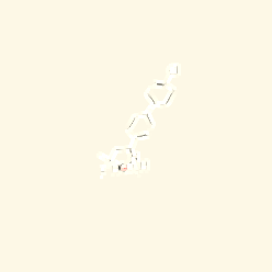 CC(F)(CC(=NO)c1ccc(-c2ccc(Cl)cc2)cc1)C(=O)O